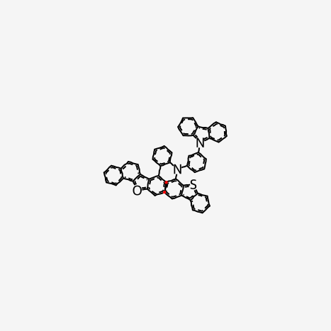 c1cc(N(c2ccccc2-c2cccc3oc4c5ccccc5ccc4c23)c2cccc3c2sc2ccccc23)cc(-n2c3ccccc3c3ccccc32)c1